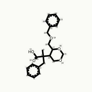 CC(Cc1ccccc1)(C(=O)O)C1COCOC1COCc1ccccc1